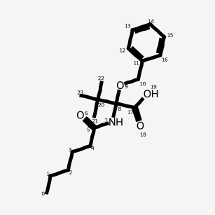 CCCCCC(=O)NC(OCc1ccccc1)(C(=O)O)C(C)(C)C